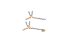 CCCCCCCCCCCCCC[P+](CCCCCC)(CCCCCC)CCCCCC.CCCCCCCCCCCCCC[P+](CCCCCC)(CCCCCC)CCCCCC.[Br-].[Cl-]